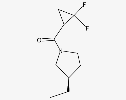 CC[C@@H]1CCN(C(=O)C2CC2(F)F)C1